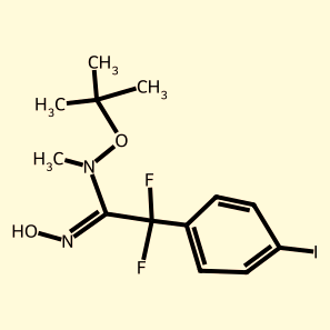 CN(OC(C)(C)C)/C(=N\O)C(F)(F)c1ccc(I)cc1